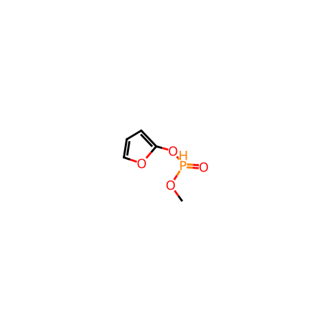 CO[PH](=O)Oc1ccco1